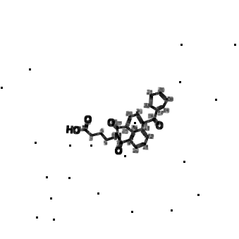 O=C(O)CCCN1C(=O)c2cccc3c(C(=O)c4ccccc4)ccc(c23)C1=O